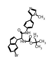 Cn1cncc1-c1ccc(NC(=O)[C@@H](NC(=O)OC(C)(C)C)[C@@H]2C=Cc3ccc(Br)cc32)cc1